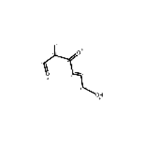 CC([C]=O)C(=O)C=CCO